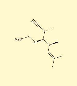 C#C[C@H](C)[C@H](OCOC)[C@@H](C)C=C(C)C